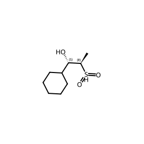 C[C@H]([C@@H](O)C1CCCCC1)[SH](=O)=O